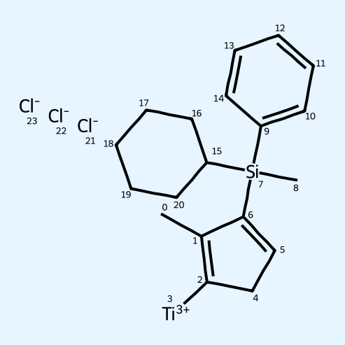 CC1=[C]([Ti+3])CC=C1[Si](C)(c1ccccc1)C1CCCCC1.[Cl-].[Cl-].[Cl-]